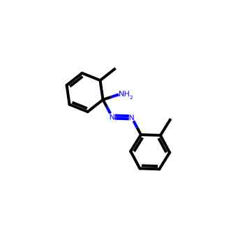 Cc1ccccc1N=NC1(N)C=CC=CC1C